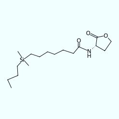 CCCC[Si](C)(C)CCCCCCC(=O)N[C@H]1CCOC1=O